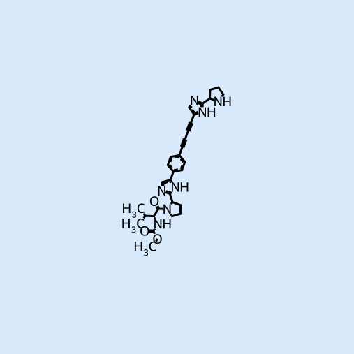 COC(=O)N[C@H](C(=O)N1CCCC1c1ncc(-c2ccc(C#CC#Cc3cnc(C4CCCN4)[nH]3)cc2)[nH]1)C(C)C